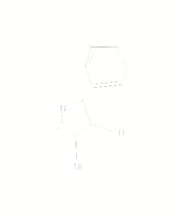 Cc1c(-c2ccccc2)noc1N